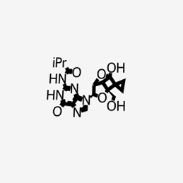 CC(C)C(=O)Nc1nc2c(ncn2[C@@H]2O[C@]3(CO)C4C2OC4(O)C32CC2)c(=O)[nH]1